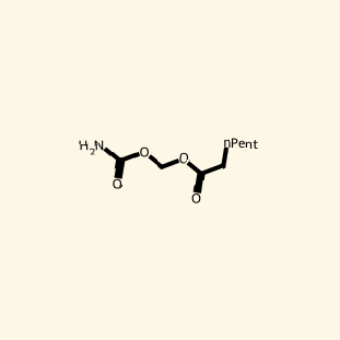 CCCCCCC(=O)OCOC(N)=O